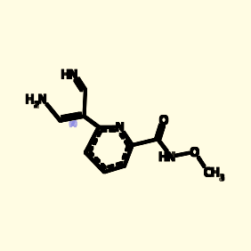 CONC(=O)c1cccc(/C(C=N)=C/N)n1